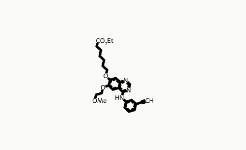 C#Cc1cccc(Nc2ncnc3cc(OCCCCCCC(=O)OCC)c(OCCOC)cc23)c1